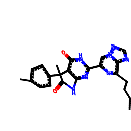 CCCCc1nc(-c2nc3c(c(=O)[nH]2)C(C)(c2ccc(C)cc2)C(=O)N3)cn2ncnc12